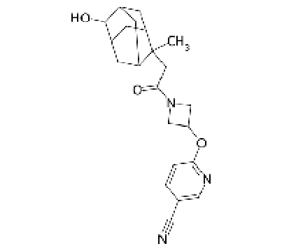 CC1(CC(=O)N2CC(Oc3ccc(C#N)cn3)C2)C2CC3CC1CC(C2)C3O